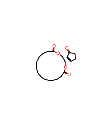 O=C1C=CCC1.O=C1CCCCCCCCCCCC(=O)OCCO1